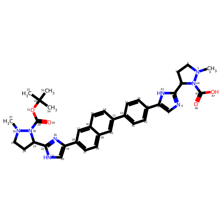 CN1CCC(c2ncc(-c3ccc(-c4ccc5cc(-c6c[nH]c(C7CCN(C)N7C(=O)OC(C)(C)C)n6)ccc5c4)cc3)[nH]2)N1C(=O)O